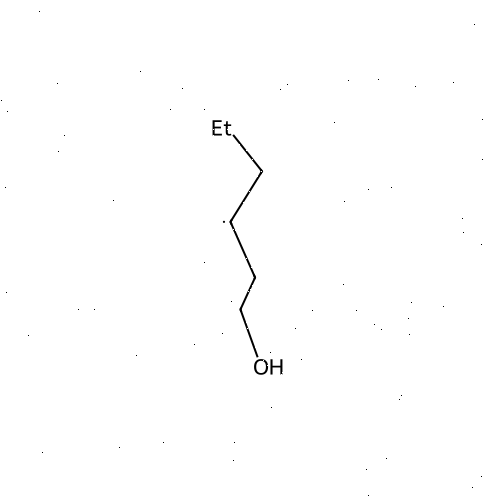 [CH2]CC[CH]CCO